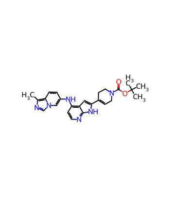 Cc1ncn2cc(Nc3ccnc4[nH]c(C5=CCN(C(=O)OC(C)(C)C)CC5)cc34)ccc12